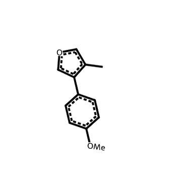 COc1ccc(-c2cocc2C)cc1